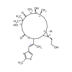 C/C(=C\c1csc(C)n1)C1CC2[C@@H](CCC[C@H](C)[C@H](O)[C@@H](C)C(=O)C(C)(C)[C@@H](O)CC(=O)O1)[N@@]2CCO